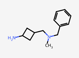 CN(Cc1ccccc1)CC1CC(N)C1